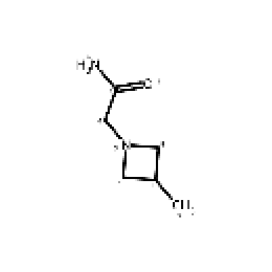 CC1CN(CC(N)=O)C1